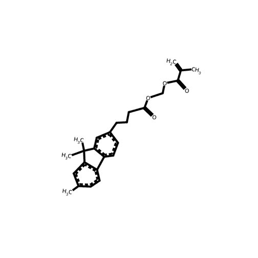 C=C(C)C(=O)OCOC(=O)CCCc1ccc2c(c1)C(C)(C)c1cc(C)ccc1-2